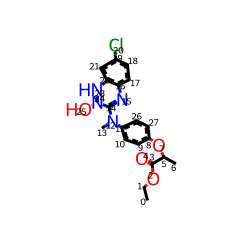 CCOC(=O)C(C)Oc1ccc(N(C)C2=Nc3ccc(Cl)cc3NN2O)cc1